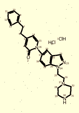 Cl.Cl.O=c1cc(CCc2ccccc2)ccn1-c1ccc2c(cnn2CCN2CCNCC2)c1